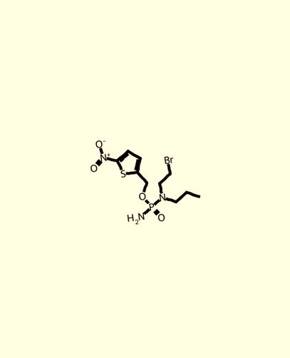 CCCN(CCBr)P(N)(=O)OCc1ccc([N+](=O)[O-])s1